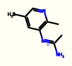 Bc1cnc(C)c(/N=C(\C)N)c1